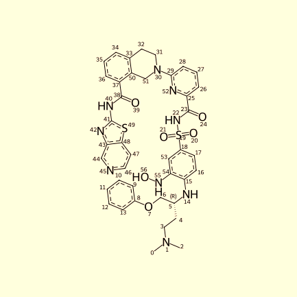 CN(C)CC[C@H](COc1ccccc1)Nc1ccc(S(=O)(=O)NC(=O)c2cccc(N3CCc4cccc(C(=O)Nc5nc6cnccc6s5)c4C3)n2)cc1NO